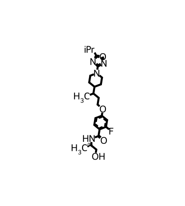 CC(C)c1nc(N2CCC(C(C)CCOc3ccc(C(=O)N[C@H](C)CO)c(F)c3)CC2)no1